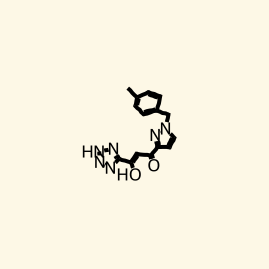 Cc1ccc(Cn2ccc(C(=O)C=C(O)c3nn[nH]n3)n2)cc1